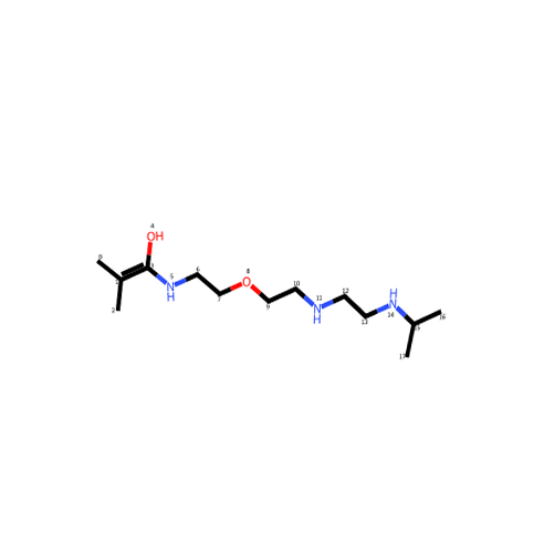 CC(C)=C(O)NCCOCCNCCNC(C)C